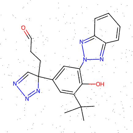 CC(C)(C)c1cc(C2(CC[C]=O)C=NN=N2)cc(-n2nc3ccccc3n2)c1O